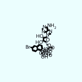 Nc1ncnc2c1ncn2[C@@H]1O[C@H](COP(=O)(O)OP(=O)(O)OP(=O)(O)Oc2cccc3cc(Br)ccc23)[C@@H](O)[C@H]1O